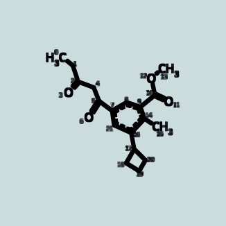 CCC(=O)CC(=O)c1cc(C(=O)OC)c(C)c(C2CCC2)c1